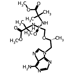 COC(=O)C(C)(C)NP(=O)(CO[C@H](C)Cn1cnc2c(N)ncnc21)NC(C)(C)C(=O)OC